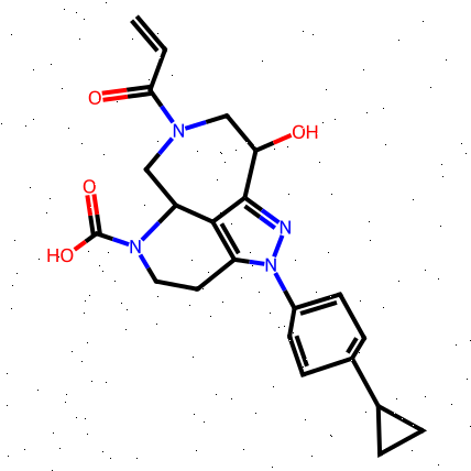 C=CC(=O)N1CC(O)c2nn(-c3ccc(C4CC4)cc3)c3c2C(C1)N(C(=O)O)CC3